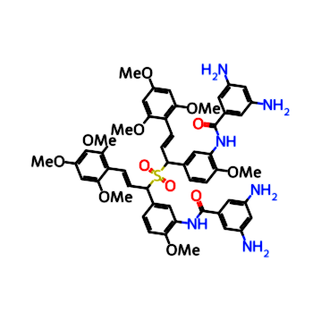 COc1cc(OC)c(C=CC(c2ccc(OC)c(NC(=O)c3cc(N)cc(N)c3)c2)S(=O)(=O)C(C=Cc2c(OC)cc(OC)cc2OC)c2ccc(OC)c(NC(=O)c3cc(N)cc(N)c3)c2)c(OC)c1